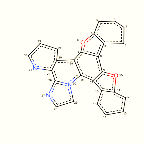 c1ccc2c(c1)oc1c2c2oc3ccccc3c2c2c1c1cccnc1c1nccn12